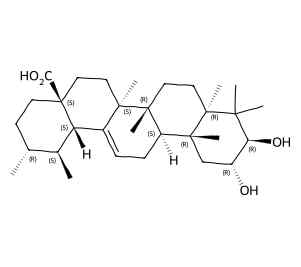 C[C@H]1[C@H](C)CC[C@]2(C(=O)O)CC[C@]3(C)C(=CC[C@@H]4[C@@]5(C)C[C@@H](O)[C@H](O)C(C)(C)[C@]5(C)CC[C@]43C)[C@H]12